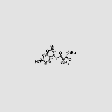 CC(C)(C)OC(=O)N(N)C(=O)Cc1cc(=O)oc2cc(O)ccc12